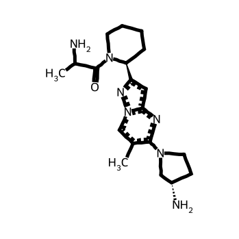 Cc1cn2nc([C@@H]3CCCCN3C(=O)C(C)N)cc2nc1N1CC[C@H](N)C1